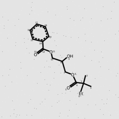 CCC(C)(C)C(=O)OCC(O)COC(=O)c1ccccc1